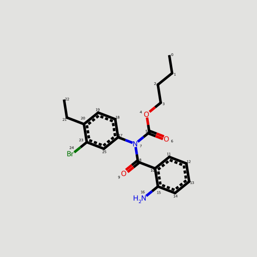 CCCCOC(=O)N(C(=O)c1ccccc1N)c1ccc(CC)c(Br)c1